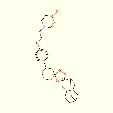 [O-][S+]1CCN(CCOc2ccc(C3CCC[C@]4(C3)OO[C@]3(CC5CCC6CC5CC3C6)O4)cc2)CC1